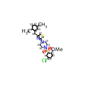 COc1ccc(Cl)cc1S(=O)(=O)N1CCN(c2nc(Cc3cc(C)ccc3C)cs2)CC1